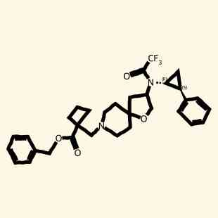 O=C(N(C1COC2(CCN(CC3(C(=O)OCc4ccccc4)CCC3)CC2)C1)[C@@H]1C[C@H]1c1ccccc1)C(F)(F)F